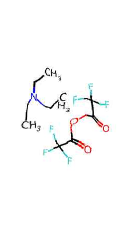 CCN(CC)CC.O=C(OC(=O)C(F)(F)F)C(F)(F)F